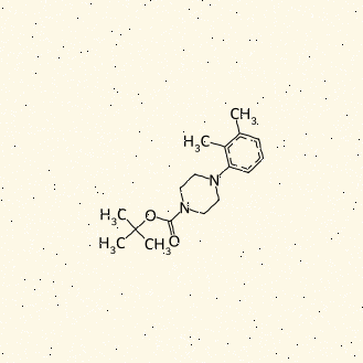 Cc1cccc(N2CCN(C(=O)OC(C)(C)C)CC2)c1C